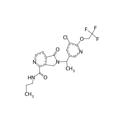 CCCNC(=O)c1nccc2c1CN(C(C)c1cnc(OCC(F)(F)F)c(Cl)c1)C2=O